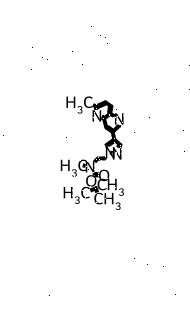 Cc1ccc2ncc(-c3cnn(CCN(C)C(=O)OC(C)(C)C)c3)cc2n1